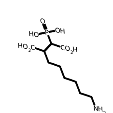 NCCCCCCC(C(=O)O)C(C(=O)O)P(=O)(O)O